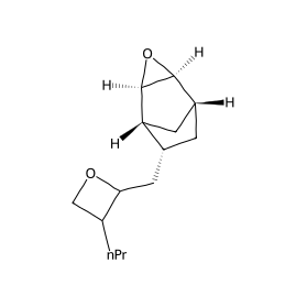 CCCC1COC1C[C@H]1C[C@@H]2C[C@H]1[C@H]1O[C@@H]21